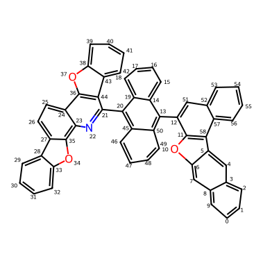 c1ccc2cc3c(cc2c1)oc1c(-c2c4ccccc4c(-c4nc5c(ccc6c7ccccc7oc65)c5oc6ccccc6c45)c4ccccc24)cc2ccccc2c13